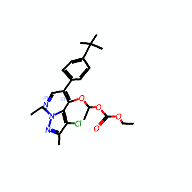 CCOC(=O)OC(C)O/C(=C(/C=N\C)c1ccc(C(C)(C)C)cc1)c1c(Cl)c(C)nn1CC